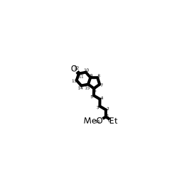 CCC(CCCCC1CCC2CC(=O)CCC12)OC